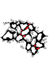 c1ccc2c(N3c4c(ccc5ccccc45)-c4cccc5cccc3c45)c(-c3nc(-c4cccc5sc6ccccc6c45)c4sc5ccccc5c4n3)ccc2c1